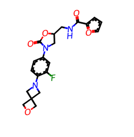 O=C(NCC1CN(c2ccc(N3CC4(COC4)C3)c(F)c2)C(=O)O1)c1ccco1